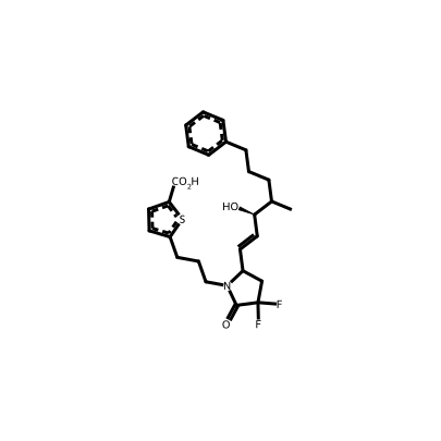 CC(CCCc1ccccc1)[C@H](O)/C=C/C1CC(F)(F)C(=O)N1CCCc1ccc(C(=O)O)s1